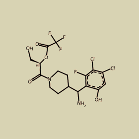 NC(c1c(O)cc(Cl)c(Cl)c1F)C1CCN(C(=O)[C@@H](CO)OC(=O)C(F)(F)F)CC1